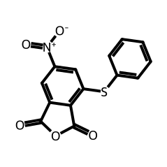 O=C1OC(=O)c2c(Sc3ccccc3)cc([N+](=O)[O-])cc21